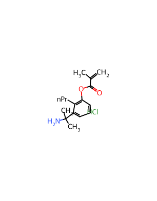 C=C(C)C(=O)Oc1cccc(C(C)(C)N)c1CCC.Cl